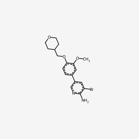 COc1cc(-c2cnc(N)c(Br)c2)ccc1OCC1CCOCC1